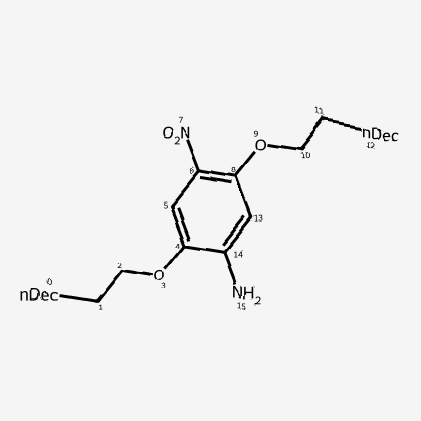 CCCCCCCCCCCCOc1cc([N+](=O)[O-])c(OCCCCCCCCCCCC)cc1N